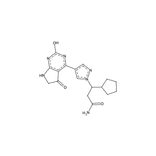 NC(=O)CC(C1CCCC1)n1cc(-c2nc(O)nc3c2C(=O)CN3)cn1